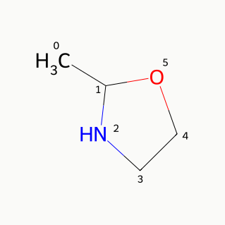 CC1NCCO1